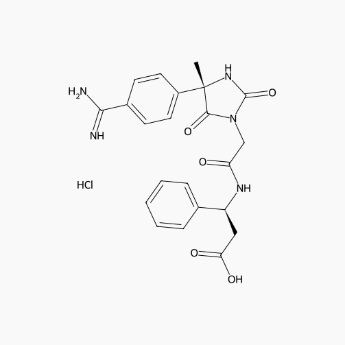 C[C@@]1(c2ccc(C(=N)N)cc2)NC(=O)N(CC(=O)N[C@@H](CC(=O)O)c2ccccc2)C1=O.Cl